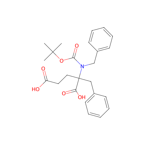 CC(C)(C)OC(=O)N(Cc1ccccc1)C(CCC(=O)O)(Cc1ccccc1)C(=O)O